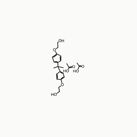 CC(=O)O.CC(=O)O.CC(C)(c1ccc(OCCO)cc1)c1ccc(OCCO)cc1